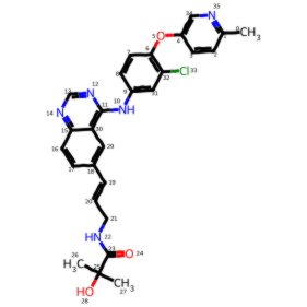 Cc1ccc(Oc2ccc(Nc3ncnc4ccc(/C=C/CNC(=O)C(C)(C)O)cc34)cc2Cl)cn1